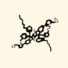 CCCCCCc1cccc(C2(c3cccc(C)c3)c3cc(-c4ccc(C=O)s4)ccc3-c3sc4c5c(sc4c32)-c2ccc(-c3ccc(C=O)s3)cc2C5(c2cccc(C)c2)c2cccc(CCCCCC)c2)c1